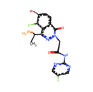 CC(P)c1nn(CC(=O)Nc2ncc(F)cn2)c(=O)c2ccc(Br)c(F)c12